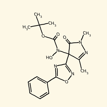 CC1=NN(C)C(=O)C1(c1noc(-c2ccccc2)n1)N(O)C(=O)OC(C)(C)C